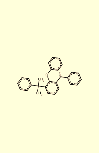 CC(C)(c1ccccc1)c1cccc(C(=O)c2ccccc2)c1Oc1ccccc1